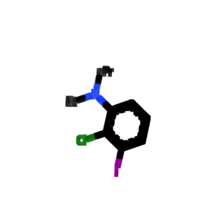 CCCN(CC)c1cccc(I)c1Cl